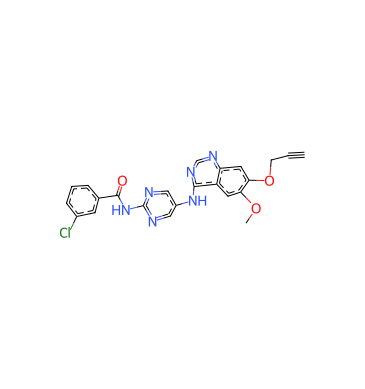 C#CCOc1cc2ncnc(Nc3cnc(NC(=O)c4cccc(Cl)c4)nc3)c2cc1OC